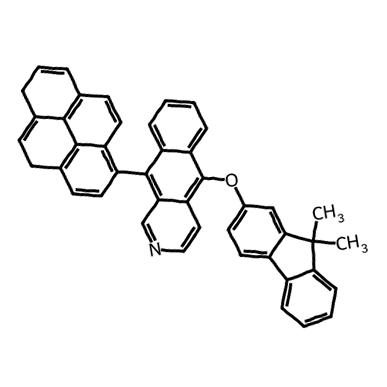 CC1(C)c2ccccc2-c2ccc(Oc3c4ccccc4c(-c4ccc5c6c7c(ccc46)C=CCC7=CC5)c4cnccc34)cc21